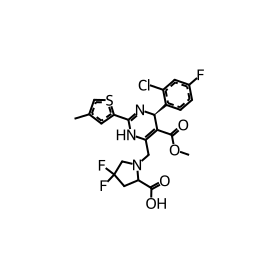 COC(=O)C1=C(CN2CC(F)(F)CC2C(=O)O)NC(c2cc(C)cs2)=N[C@H]1c1ccc(F)cc1Cl